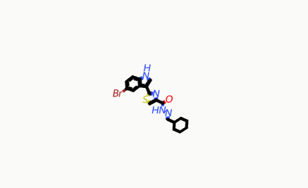 O=C(NN=CC1CCCCC1)c1csc(-c2c[nH]c3ccc(Br)cc23)n1